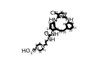 O=C(NCCN1CCN(C(=O)O)CC1)Nc1ccc2cc1CCc1cccc(c1)Nc1ncc(Cl)c(n1)N2